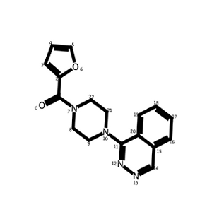 O=C(c1ccco1)N1CCN(c2nncc3ccccc23)CC1